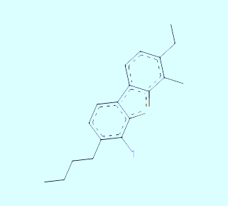 CCCCc1ccc2c(sc3c(C)c(CC)ccc32)c1I